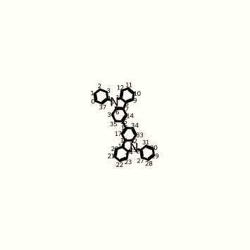 C1=CCCC(n2c3c(c4ccccc42)C=C(C2=CC4C5C=CC=CC5N(c5ccccc5)C4C=C2)CC3)=C1